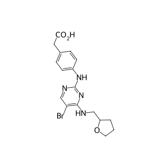 O=C(O)Cc1ccc(Nc2ncc(Br)c(NCC3CCCO3)n2)cc1